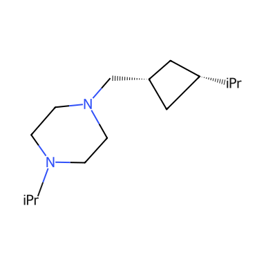 CC(C)N1CCN(C[C@H]2C[C@@H](C(C)C)C2)CC1